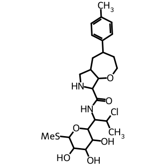 CSC1OC(C(NC(=O)C2NCC3CC(c4ccc(C)cc4)CCOC32)C(C)Cl)C(O)C(O)C1O